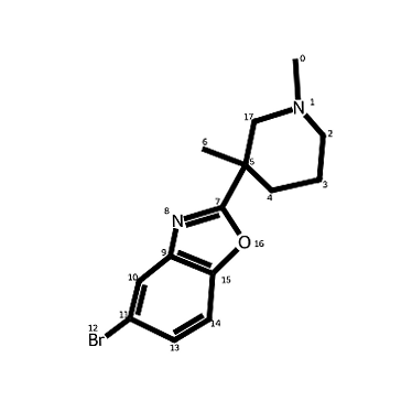 CN1CCCC(C)(c2nc3cc(Br)ccc3o2)C1